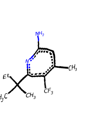 CCC(C)(C)c1nc(N)cc(C)c1C(F)(F)F